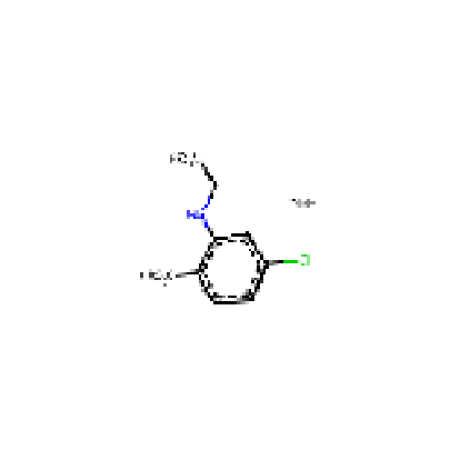 O=C(O)CNc1cc(Cl)ccc1C(=O)O.[NaH]